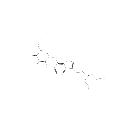 CCCN(CCC)CCc1c[nH]c2c(OC3OC(CO)C(O)C(O)C3O)cccc12